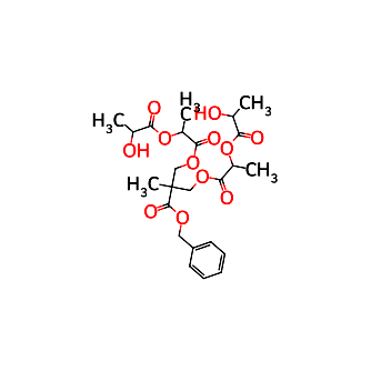 CC(O)C(=O)OC(C)C(=O)OCC(C)(COC(=O)C(C)OC(=O)C(C)O)C(=O)OCc1ccccc1